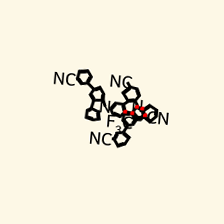 N#Cc1cccc(-c2ccc3c(c2)c2ccccc2n3-c2ccc(-c3ccc(C#N)cc3C(F)(F)F)c(-c3cc(C#N)ccc3-n3c4ccccc4c4cc(-c5cccc(C#N)c5)ccc43)c2)c1